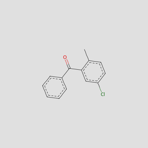 Cc1ccc(Cl)cc1C(=O)c1ccccc1